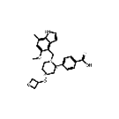 COc1cc(C)c2[nH]ccc2c1CN1CC[C@@H](OC2COC2)C[C@@H]1c1ccc(C(=O)O)cc1